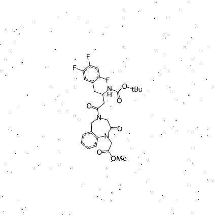 COC(=O)CN1C(=O)CN(C(=O)CC(Cc2cc(F)c(F)cc2F)NC(=O)OC(C)(C)C)Cc2ccccc21